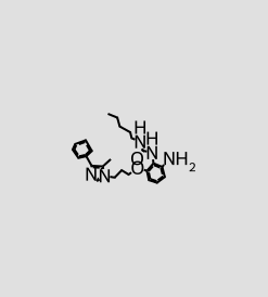 CCCCCNC(=O)Nc1c(N)cccc1OCCCn1cnc(-c2ccccc2)c1C